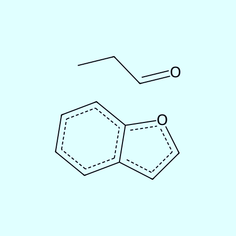 CCC=O.c1ccc2occc2c1